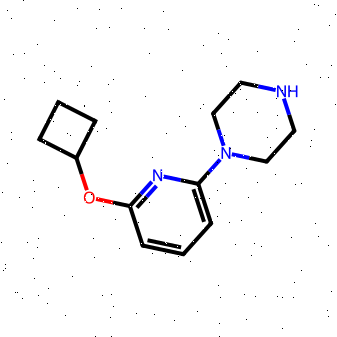 c1cc(OC2CCC2)nc(N2CCNCC2)c1